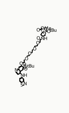 COC(=O)[C@@H]1C[C@H](NC(=O)COCCOCCOCCOCCOc2cc3nccc(Nc4ccc5scnc5c4)c3cc2S(=O)(=O)C(C)(C)C)CN1C(=O)OC(C)(C)C